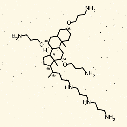 C[C@H](CCCNCCCNCCCN)[C@H]1CC[C@H]2C3C(C[C@H](OCCCN)C12C)C1(C)CC[C@@H](OCCCN)CC1C[C@H]3OCCCN